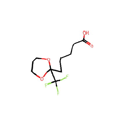 O=C(O)CCCCC1(C(F)(F)F)OCCO1